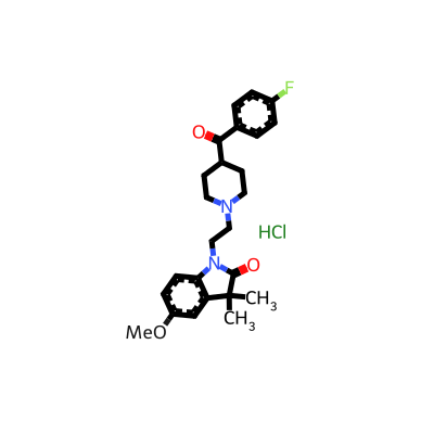 COc1ccc2c(c1)C(C)(C)C(=O)N2CCN1CCC(C(=O)c2ccc(F)cc2)CC1.Cl